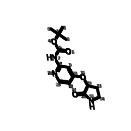 CC(C)(C)OC(=O)Nc1cc(OC2CCNC2=O)ccn1